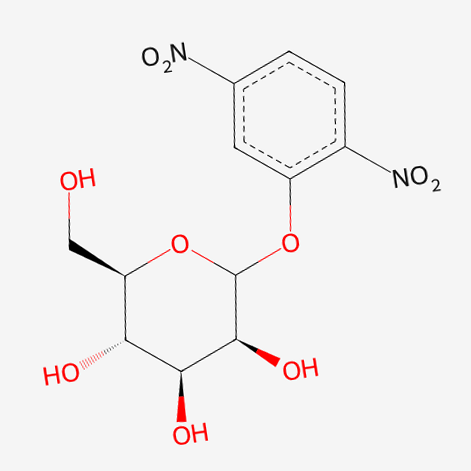 O=[N+]([O-])c1ccc([N+](=O)[O-])c(OC2O[C@H](CO)[C@@H](O)[C@H](O)[C@@H]2O)c1